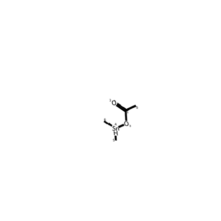 CC(=O)[O][SnH]([CH3])[CH3]